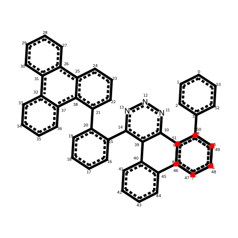 c1ccc(-c2ccccc2-c2nnnc(-c3ccccc3-c3cccc4c5ccccc5c5ccccc5c34)c2-c2ccccc2-c2ccccc2)cc1